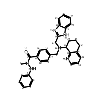 CN(Nc1ccccc1)C(=O)c1ccc(CN(Cc2nc3ccccc3[nH]2)C2CCCc3cccnc32)cc1